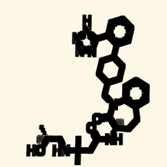 C[C@@H](O)CNC(C)(C)CC(=O)N[C@@H]1CCc2ccccc2N(CC2CCC(c3ccccc3-c3nnn[nH]3)CC2)C1=O